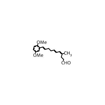 COc1ccc(OC)c(C=CCCC=CC=C(C)CCC=O)c1